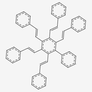 [c]1ccc(-c2c(C=Cc3ccccc3)c(C=Cc3ccccc3)c(C=Cc3ccccc3)c(C=Cc3ccccc3)c2C=Cc2ccccc2)cc1